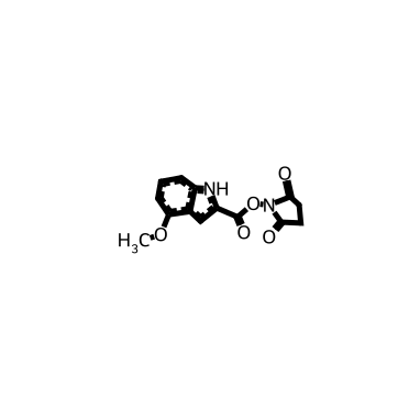 COc1cccc2[nH]c(C(=O)ON3C(=O)CCC3=O)cc12